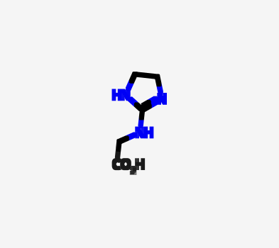 O=C(O)CNC1=NCCN1